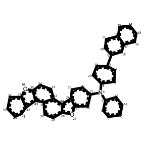 c1ccc(N(c2ccc(-c3ccc4ccccc4c3)cc2)c2ccc3c(c2)oc2ccc4c(ccc5oc6ccccc6c54)c23)cc1